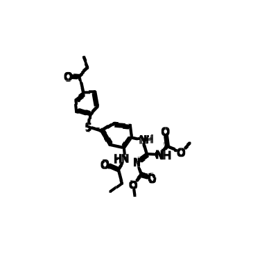 CCC(=O)Nc1cc(Sc2ccc(C(=O)CC)cc2)ccc1NC(=NC(=O)OC)NC(=O)OC